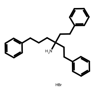 Br.NC(CCCc1ccccc1)(CCc1ccccc1)CCc1ccccc1